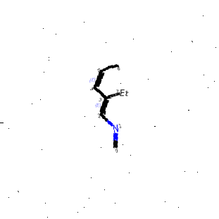 C=N/C=C(/C=C\C)CC